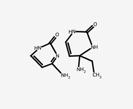 CCC1(N)C=CNC(=O)N1.Nc1cc[nH]c(=O)n1